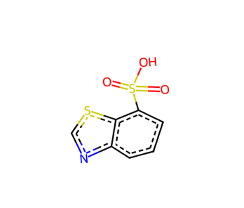 O=S(=O)(O)c1cccc2ncsc12